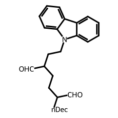 CCCCCCCCCCC(C=O)CCC(C=O)CCn1c2ccccc2c2ccccc21